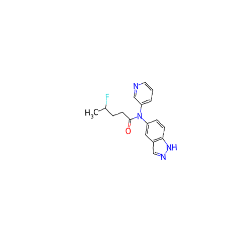 CC(F)CCC(=O)N(c1cccnc1)c1ccc2[nH]ncc2c1